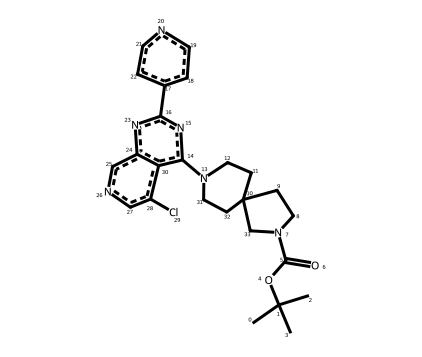 CC(C)(C)OC(=O)N1CCC2(CCN(c3nc(-c4ccncc4)nc4cncc(Cl)c34)CC2)C1